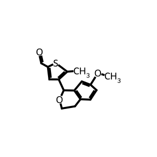 COc1ccc2c(c1)C(c1cc(C=O)sc1C)OCC2